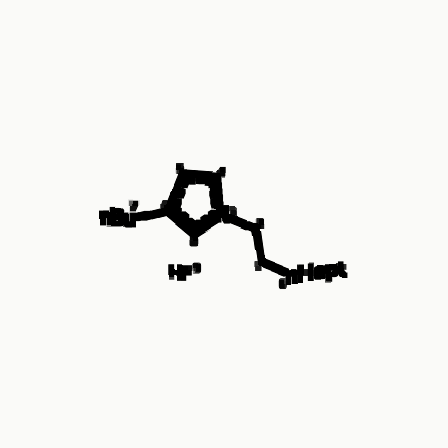 CCCCCCCCCn1ccc(CCCC)c1.F